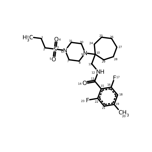 CCCS(=O)(=O)N1CCN(C2(CNC(=O)c3c(F)cc(C)cc3F)CCCCCC2)CC1